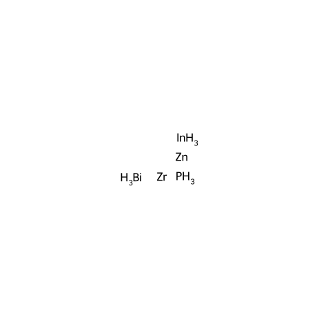 P.[BiH3].[InH3].[Zn].[Zr]